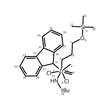 [CH2]=[Zr]([CH3])([Cl])([Cl])([CH2]CCO[Si](C)(C)C)([NH]C(C)(C)C)[CH]1c2ccccc2-c2ccccc21